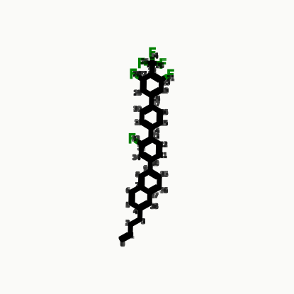 C=CCCc1ccc2cc(-c3ccc(-c4ccc(-c5cc(F)c(C(F)(F)F)c(F)c5)cc4)c(F)c3)ccc2c1